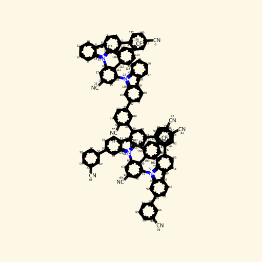 N#Cc1ccc(-c2ccc3c4ccccc4n(-c4cc(C#N)cc(-n5c6ccccc6c6ccc(-c7ccc(C#N)c(-c8cc(-c9cccc(C#N)c9)cc9c8c8ccc(-c%10cccc(C#N)c%10)cc8n9-c8cc(C#N)cc(-n9c%10cc(-c%11cccc(C#N)c%11)ccc%10c%10ccc(-c%11cccc(C#N)c%11)cc%109)c8-c8ccc(C(F)(F)F)cc8C#N)c7)cc65)c4-c4ccc(C(F)(F)F)cc4C#N)c3c2)cc1